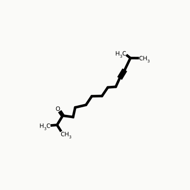 CC(C)C#CCCCCCCCC(=O)C(C)C